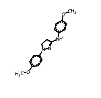 COc1ccc(NC2=NN(c3ccc(OC)cc3)CC2)cc1